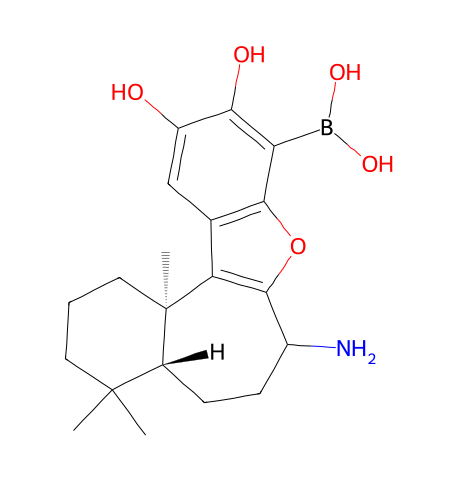 CC1(C)CCC[C@@]2(C)c3c(oc4c(B(O)O)c(O)c(O)cc34)C(N)CC[C@H]12